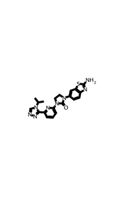 CC(C)n1cnnc1-c1cccc(N2CCN(c3ccc4nc(N)sc4c3)C2=O)n1